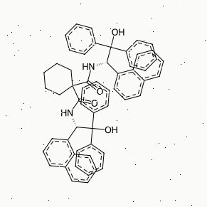 O=C(N[C@@H](c1cccc2ccccc12)C(O)(c1ccccc1)c1ccccc1)C1(C(=O)N[C@@H](c2cccc3ccccc23)C(O)(c2ccccc2)c2ccccc2)CCCCC1